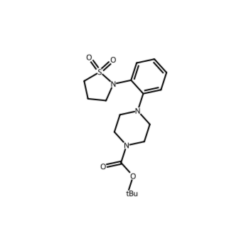 CC(C)(C)OC(=O)N1CCN(c2ccccc2N2CCCS2(=O)=O)CC1